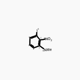 CNc1cccc(I)c1[N+](=O)[O-]